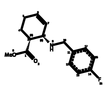 COC(=O)[C@@H]1CCC=C[C@@H]1NCc1ccc(F)cc1